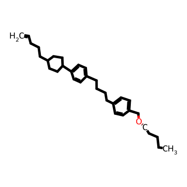 C=CCCCC1CCC(c2ccc(CCCCc3ccc(COCCCCC)cc3)cc2)CC1